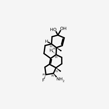 C[C@]12C=CC(O)(O)C[C@H]1CCC1=C3C[C@@H](F)[C@H](N)[C@@]3(C)CC[C@@H]12